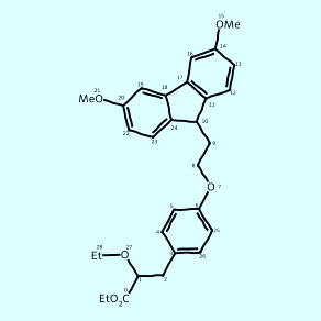 CCOC(=O)C(Cc1ccc(OCCC2c3ccc(OC)cc3-c3cc(OC)ccc32)cc1)OCC